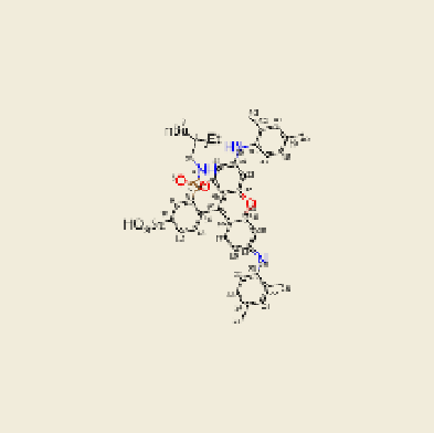 CCCCC(CC)CNS(=O)(=O)c1cc(S(=O)(=O)O)ccc1-c1c2cc/c(=N\c3ccc(C)cc3C)cc-2oc2cc(Nc3ccc(C)cc3C)ccc12